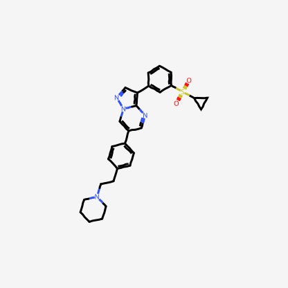 O=S(=O)(c1cccc(-c2cnn3cc(-c4ccc(CCN5CCCCC5)cc4)cnc23)c1)C1CC1